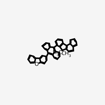 CC1(C)c2ccc3ccccc3c2-c2cccc(-c3c4ccccc4c(-c4ccc5oc6ccccc6c5c4)c4ccccc34)c21